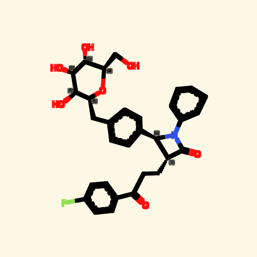 O=C(CC[C@H]1C(=O)N(c2ccccc2)[C@@H]1c1ccc(C[C@@H]2O[C@H](CO)[C@@H](O)[C@H](O)[C@@H]2O)cc1)c1ccc(F)cc1